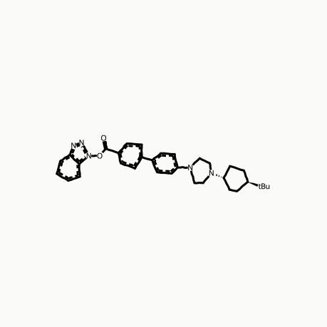 CC(C)(C)[C@H]1CC[C@H](N2CCN(c3ccc(-c4ccc(C(=O)On5nnc6ccccc65)cc4)cc3)CC2)CC1